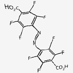 O=C(O)c1c(F)c(F)c(/N=N/c2c(F)c(F)c(C(=O)O)c(F)c2F)c(F)c1F